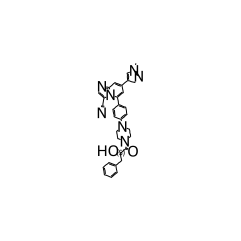 Cn1cc(-c2cc(-c3ccc(N4CCN(C(=O)[C@@H](O)Cc5ccccc5)CC4)cc3)n3c(C#N)cnc3c2)cn1